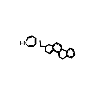 C1=CC=CNC=C1.CCC1CC=c2c(ccc3c2=CCc2ccccc2-3)C1